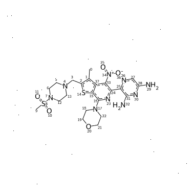 Cc1c(CN2CCN(S(C)(=O)=O)CC2)sc2c(N3CCOCC3)nc(-c3ncc(N)nc3N)c([N+](=O)[O-])c12